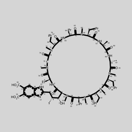 CC[C@@H]1NC(=O)[C@H]([C@H](O)[C@H](C)Cc2nc3cc(C(=O)O)c(C(=O)O)cc3[nH]2)N(C)C(=O)[C@H](C(C)C)N(C)C(=O)[C@H](CC(C)C)N(C)C(=O)[C@H](CC(C)C)N(C)C(=O)[C@@H](C)NC(=O)[C@H](C)NC(=O)[C@H](CC(C)C)N(C)C(=O)[C@H](C(C)C)NC(=O)[C@H](CC(C)C)N(C)C(=O)CN(C)C1=O